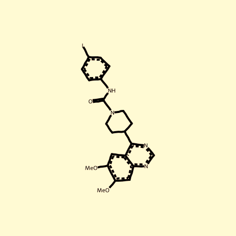 COc1cc2ncnc(C3CCN(C(=O)Nc4ccc(I)cc4)CC3)c2cc1OC